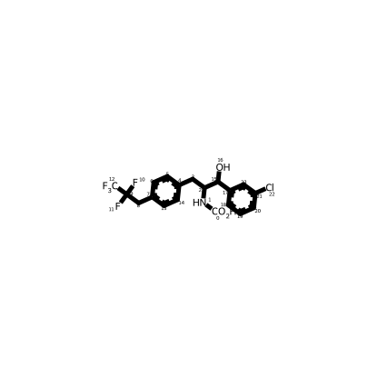 O=C(O)NC(Cc1ccc(CC(F)(F)C(F)(F)F)cc1)C(O)c1cccc(Cl)c1